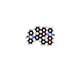 CN1c2ccccc2N(c2ccc3c(-c4ccccc4-c4ccccc4)c4cc(N5c6ccccc6N(C)c6ccccc65)ccc4c(-c4cccc(-c5ccccc5)c4)c3c2)c2ccccc21